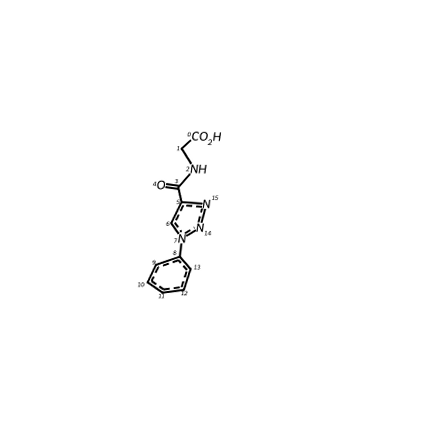 O=C(O)CNC(=O)c1cn(-c2ccccc2)nn1